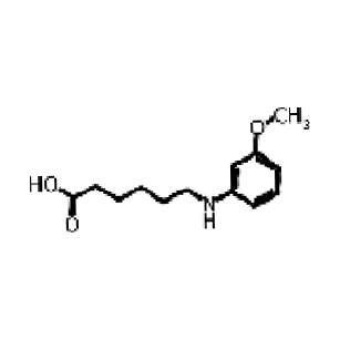 COc1cccc(NCCCCCC(=O)O)c1